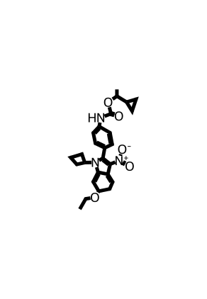 CCOC1C=c2c(c([N+](=O)[O-])c(-c3ccc(NC(=O)OC(C)C4CC4)cc3)n2C2CCC2)=CC1